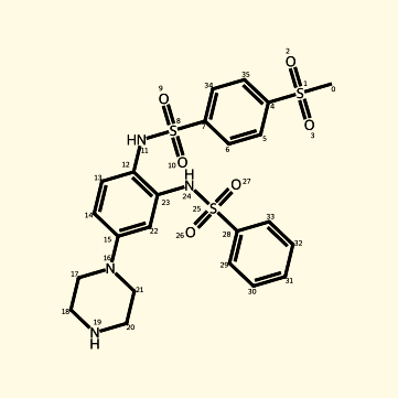 CS(=O)(=O)c1ccc(S(=O)(=O)Nc2ccc(N3CCNCC3)cc2NS(=O)(=O)c2ccccc2)cc1